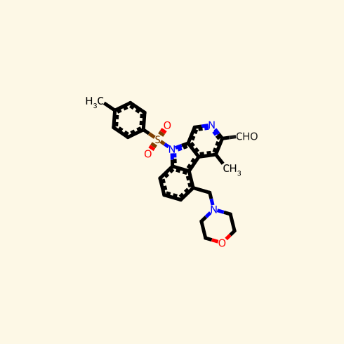 Cc1ccc(S(=O)(=O)n2c3cccc(CN4CCOCC4)c3c3c(C)c(C=O)ncc32)cc1